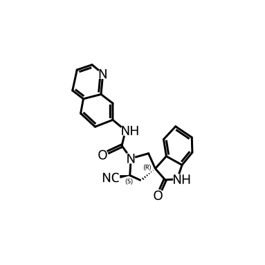 N#C[C@@H]1C[C@@]2(CN1C(=O)Nc1ccc3cccnc3c1)C(=O)Nc1ccccc12